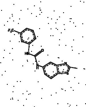 Cc1nc2cc(NC(=O)Nc3cccc(C(F)(F)F)c3)ccc2s1